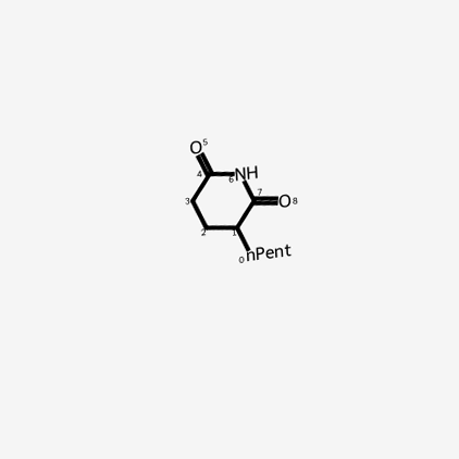 CCCCCC1CCC(=O)NC1=O